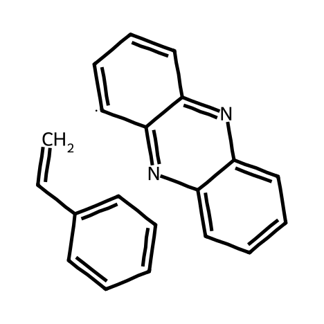 C=Cc1ccccc1.[c]1cccc2nc3ccccc3nc12